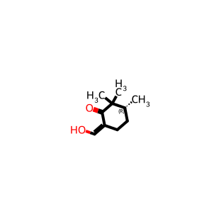 C[C@@H]1CCC(=CO)C(=O)C1(C)C